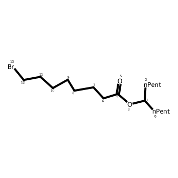 CCCCCC(CCCCC)OC(=O)CCCCCCCBr